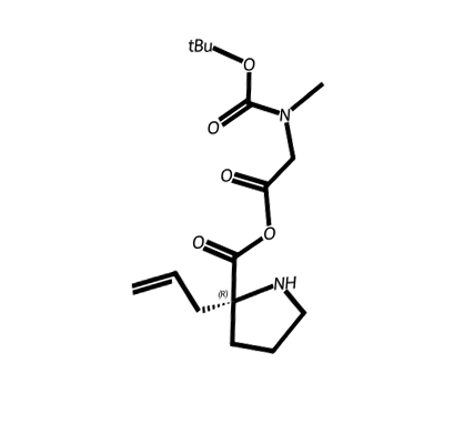 C=CC[C@@]1(C(=O)OC(=O)CN(C)C(=O)OC(C)(C)C)CCCN1